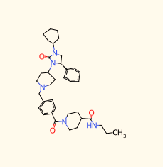 CCCNC(=O)C1CCN(C(=O)c2ccc(CN3CCC(N4C(=O)N(C5CCCCC5)C[C@H]4c4ccccc4)CC3)cc2)CC1